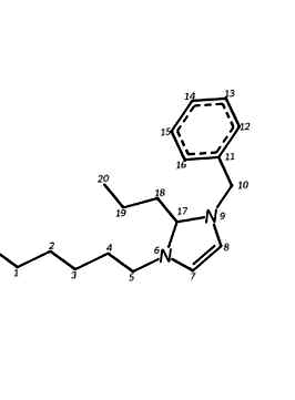 CCCCCCN1C=CN(Cc2ccccc2)C1CCC